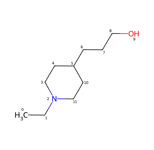 CCN1CCC(CCCO)CC1